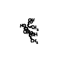 CCCCCC(/C=C/[C@@H]1[C@@H](C(CCC)CCCC(=O)O)[C@@H](O)C[C@H]1O)OO